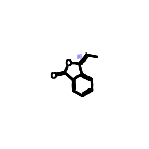 C/[C]=C1/OC(=O)c2ccccc21